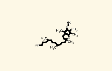 CC(=O)COc1c(C)c(C)c2c(c1C)CC[C@@](C)(CCCC(C)CCCC(C)CCCC(C)C)O2